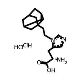 Cl.Cl.N[C@@H](Cc1cncn1CCC12CC3CC(CC(C3)C1)C2)C(=O)O